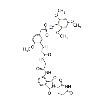 COc1cc(OC)c(/C=C/S(=O)(=O)Cc2ccc(OC)c(NCC(=O)NCC(=O)Nc3cccc4c3C(=O)N(C3CCC(=O)NC3=O)C4=O)c2)c(OC)c1